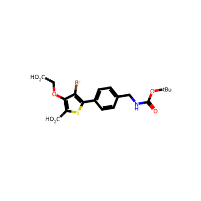 CC(C)(C)OC(=O)NCc1ccc(-c2sc(C(=O)O)c(OCC(=O)O)c2Br)cc1